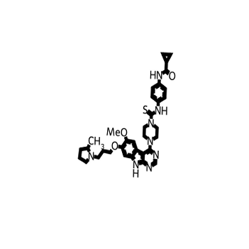 COc1cc2c(cc1OCCCN1CCCC1C)[nH]c1ncnc(N3CCN(C(=S)Nc4ccc(NC(=O)C5CC5)cc4)CC3)c12